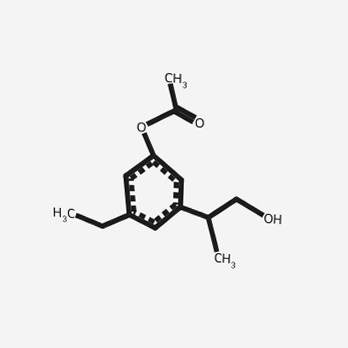 CCc1cc(OC(C)=O)cc([C](C)CO)c1